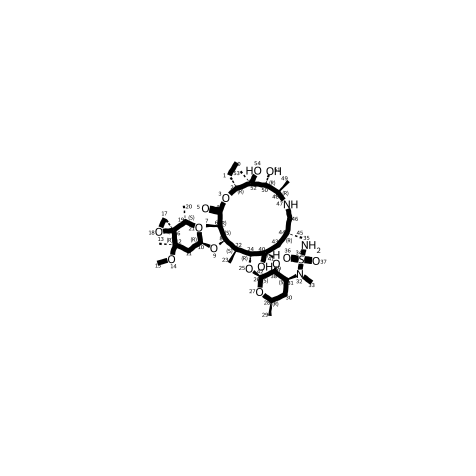 CC[C@H]1OC(=O)[C@H](C)[C@@H](O[C@H]2C[C@@](C)(OC)[C@]3(CO3)[C@H](C)O2)[C@H](C)[C@@H](O[C@@H]2O[C@H](C)C[C@H](N(C)S(N)(=O)=O)[C@H]2O)[C@](C)(O)C[C@@H](C)CN[C@H](C)[C@@H](O)[C@]1(C)O